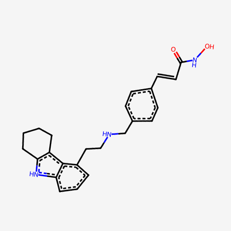 O=C(/C=C/c1ccc(CNCCc2cccc3[nH]c4c(c23)CCCC4)cc1)NO